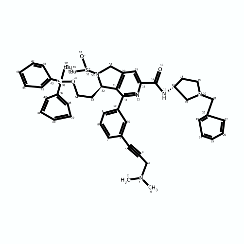 CN(C)CC#Cc1cccc(-c2nc(C(=O)N[C@@H]3CCN(Cc4ccccc4)C3)cc3c2[C@@H](CCO[Si](c2ccccc2)(c2ccccc2)C(C)(C)C)N([S+]([O-])C(C)(C)C)C3)c1